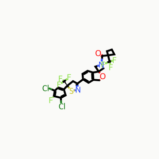 O=C(N1CC2(C1)OCc1cc(C3=NS[C@@](c4cc(Cl)c(F)c(Cl)c4)(C(F)(F)F)C3)ccc12)C1(C(F)(F)F)CCC1